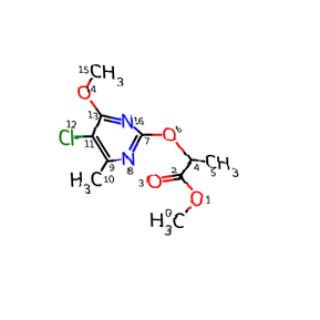 COC(=O)C(C)Oc1nc(C)c(Cl)c(OC)n1